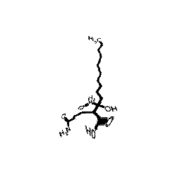 CCCCCCCCCCC(O)([PH2]=O)C(CCC(N)=O)C(=O)O